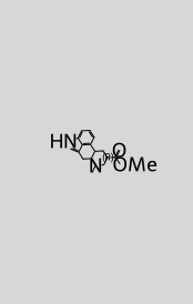 COC(=O)[C@@H]1CC2c3cccc4[nH]cc(c34)CC2N(C)C1